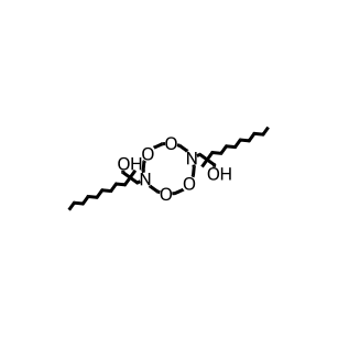 CCCCCCCCCC(C)(CO)CN1CCOCCOCCN(CC(C)(CO)CCCCCCCCC)CCOCCOCC1